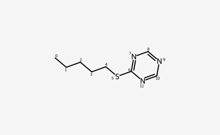 CCCCCSc1ncncn1